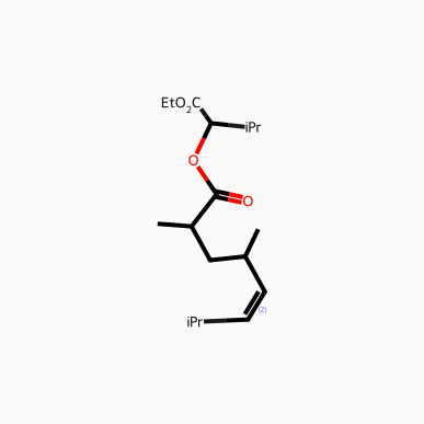 CCOC(=O)C(OC(=O)C(C)CC(C)/C=C\C(C)C)C(C)C